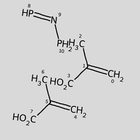 C=C(C)C(=O)O.C=C(C)C(=O)O.P=NP